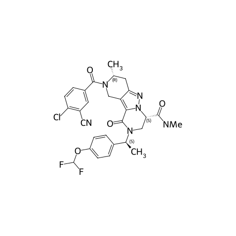 CNC(=O)[C@@H]1CN([C@@H](C)c2ccc(OC(F)F)cc2)C(=O)c2c3c(nn21)C[C@@H](C)N(C(=O)c1ccc(Cl)c(C#N)c1)C3